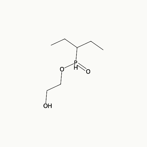 CCC(CC)[PH](=O)OCCO